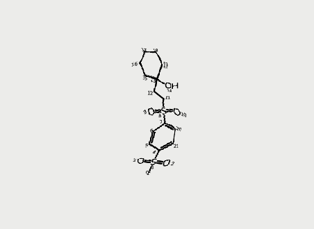 CS(=O)(=O)c1ccc(S(=O)(=O)CCC2(O)CCCCC2)cc1